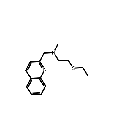 CCSCCN(C)Cc1ccc2ccccc2n1